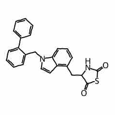 O=C1NC(Cc2cccc3c2ccn3Cc2ccccc2-c2ccccc2)C(=O)S1